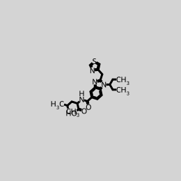 CCC(CC)n1c(Cc2cscn2)nc2cc(C(=O)NC(CC(C)C)C(=O)O)ccc21